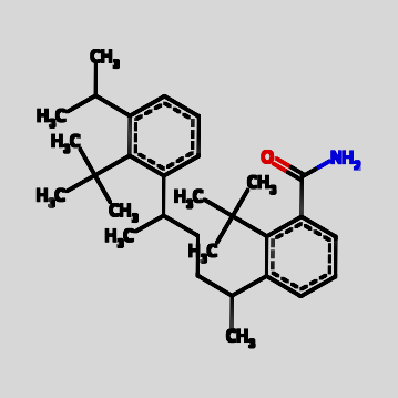 CC(C)c1cccc(C(C)CCC(C)c2cccc(C(N)=O)c2C(C)(C)C)c1C(C)(C)C